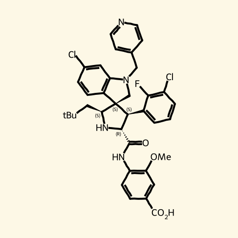 COc1cc(C(=O)O)ccc1NC(=O)[C@@H]1N[C@@H](CC(C)(C)C)[C@@]2(CN(Cc3ccncc3)c3cc(Cl)ccc32)[C@H]1c1cccc(Cl)c1F